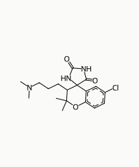 CN(C)CCCC1C(C)(C)Oc2ccc(Cl)cc2C12NC(=O)NC2=O